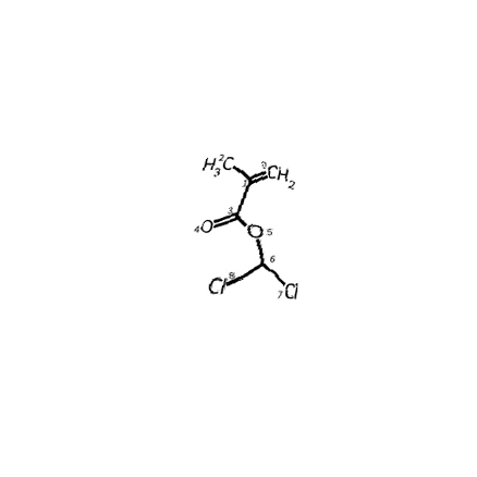 C=C(C)C(=O)OC(Cl)Cl